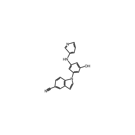 N#Cc1ccc2c(ccn2-c2cc(O)cc(Nc3cccnc3)c2)c1